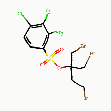 O=S(=O)(OC(CBr)(CBr)CCBr)c1ccc(Cl)c(Cl)c1Cl